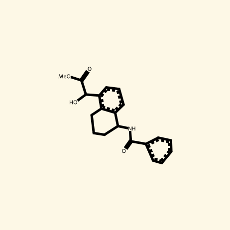 COC(=O)C(O)c1cccc2c1CCCC2NC(=O)c1ccccc1